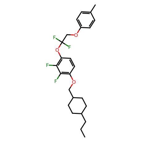 CCCC1CCC(COc2ccc(OC(F)(F)COc3ccc(C)cc3)c(F)c2F)CC1